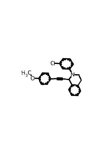 COc1ccc(C#CC2c3ccccc3CCN2c2cccc(Cl)c2)cc1